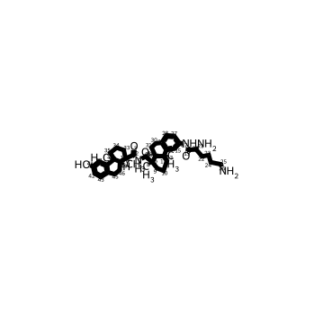 C[C@]1(C(=O)NC(=O)[C@@]2(C)CCC[C@]3(C)c4cc(NC(=O)[C@@H](N)CCCCN)ccc4CC[C@@H]23)CCC[C@]2(C)c3cc(O)ccc3CC[C@@H]12